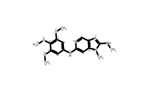 CNc1nc2cnc(Nc3cc(OC)c(OC)c(OC)c3)cc2n1C